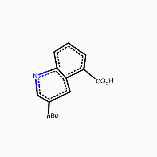 CCCCc1cnc2cccc(C(=O)O)c2c1